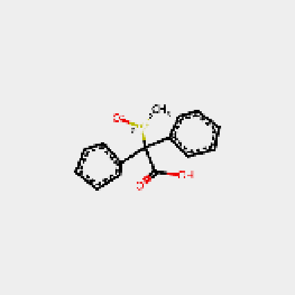 C[S@@+]([O-])C(C(=O)O)(c1ccccc1)c1ccccc1